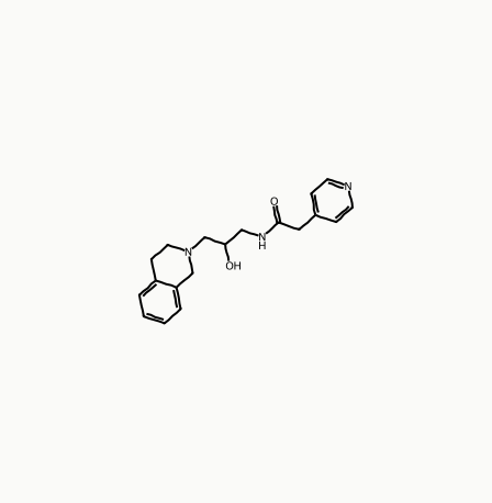 O=C(Cc1ccncc1)NCC(O)CN1CCc2ccccc2C1